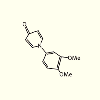 COc1ccc(-n2ccc(=O)cc2)cc1OC